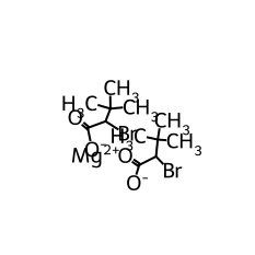 CC(C)(C)C(Br)C(=O)[O-].CC(C)(C)C(Br)C(=O)[O-].[Mg+2]